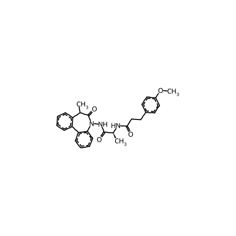 COc1ccc(CCC(=O)N[C@@H](C)C(=O)NN2C(=O)C(C)c3ccccc3-c3ccccc32)cc1